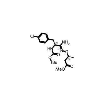 COC(=O)C[C@H](C)O/N=C(\N)[C@H](Cc1ccc(Cl)cc1)NC(=O)OC(C)(C)C